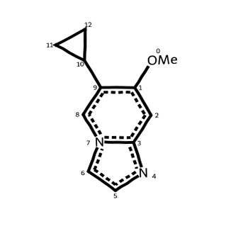 COc1cc2nccn2cc1C1CC1